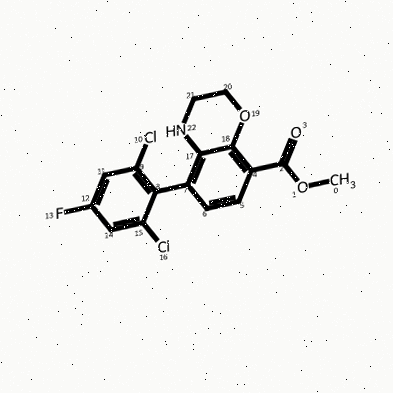 COC(=O)c1ccc(-c2c(Cl)cc(F)cc2Cl)c2c1OCCN2